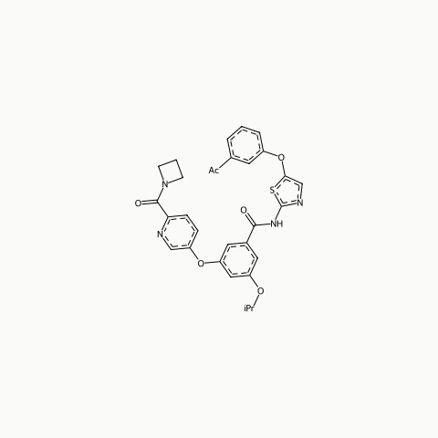 CC(=O)c1cccc(Oc2cnc(NC(=O)c3cc(Oc4ccc(C(=O)N5CCC5)nc4)cc(OC(C)C)c3)s2)c1